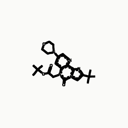 CC(C)(C)OC(=O)Cn1c(=O)n2cc(C(C)(C)C)nc2c2ncc(N3CCOCC3)cc21